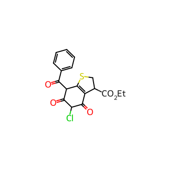 CCOC(=O)C1CSC2=C1C(=O)C(Cl)C(=O)C2C(=O)c1ccccc1